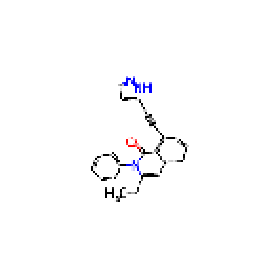 CCc1cc2cccc(C#Cc3ccn[nH]3)c2c(=O)n1-c1ccccc1